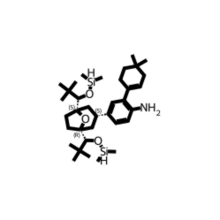 C[SiH](C)OC(C(C)(C)C)[C@@]12CC[C@@](C(O[SiH](C)C)C(C)(C)C)(C[C@H](c3ccc(N)c(C4=CCC(C)(C)CC4)c3)C1)O2